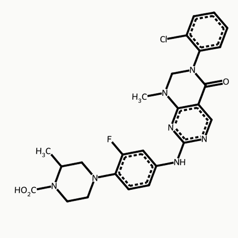 CC1CN(c2ccc(Nc3ncc4c(n3)N(C)CN(c3ccccc3Cl)C4=O)cc2F)CCN1C(=O)O